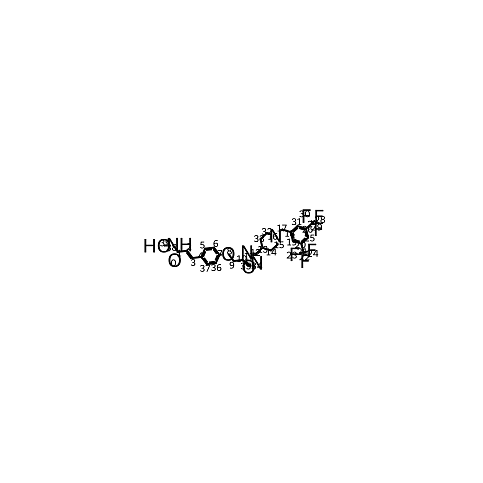 O=C(C=Cc1ccc(OCc2nc(C3CCN(Cc4cc(C(F)(F)F)cc(C(F)(F)F)c4)CC3)no2)cc1)NO